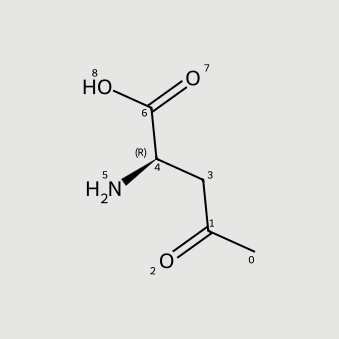 CC(=O)C[C@@H](N)C(=O)O